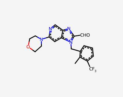 Cc1c(Cn2c(C=O)nc3cnc(N4CCOCC4)cc32)cccc1C(F)(F)F